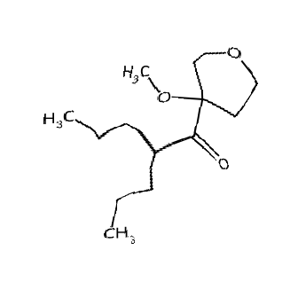 CCCC(CCC)C(=O)C1(OC)CCOC1